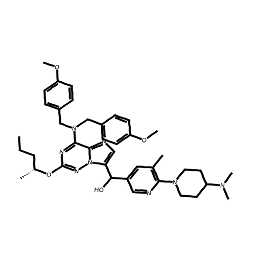 CCC[C@@H](C)Oc1nc(N(Cc2ccc(OC)cc2)Cc2ccc(OC)cc2)c2ncc(C(O)c3cnc(N4CCC(N(C)C)CC4)c(C)c3)n2n1